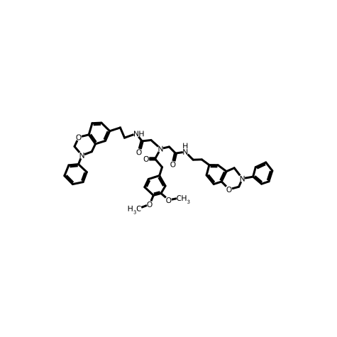 COc1ccc(CC(=O)N(CC(=O)NCCc2ccc3c(c2)CN(c2ccccc2)CO3)CC(=O)NCCc2ccc3c(c2)CN(c2ccccc2)CO3)cc1OC